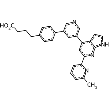 Cc1cccc(-c2cc(-c3cncc(-c4ccc(CCCC(=O)O)cc4)c3)c3cc[nH]c3n2)n1